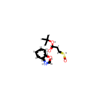 CC(C)(C)OC(=O)CC=S=O.c1ccc2ocnc2c1